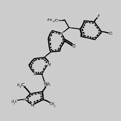 CCC(c1ccc(Cl)c(F)c1)n1ccc(-c2ccnc(Nc3c(C)nn(C)c3C)n2)cc1=O